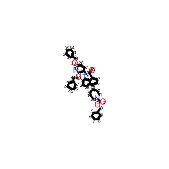 O=C(OCc1ccccc1)N1CCC[C@H](c2ccc3c4c(cccc24)N(c2ccc(OCc4ccccc4)nc2OCc2ccccc2)C3=O)CC1